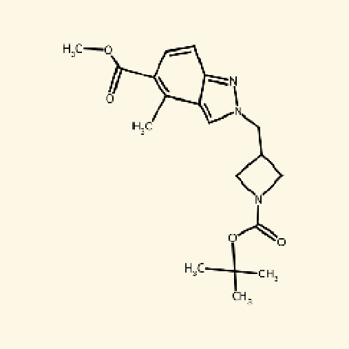 COC(=O)c1ccc2nn(CC3CN(C(=O)OC(C)(C)C)C3)cc2c1C